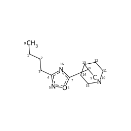 CCCCc1noc(C2CN3CCC2CC3)n1